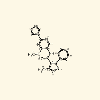 COc1nc(-n2ccnc2)ncc1NC(=O)c1c(-c2ccccc2)noc1C